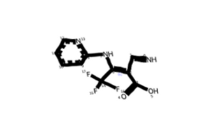 N=C/C(C(=O)O)=C(\Nc1ccccn1)C(F)(F)F